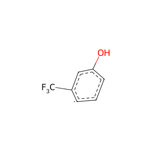 Oc1cc[c]c(C(F)(F)F)c1